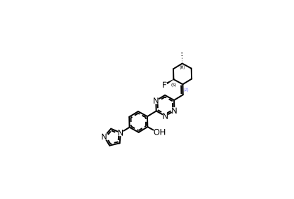 C[C@@H]1CC/C(=C/c2cnc(-c3ccc(-n4ccnc4)cc3O)nn2)[C@@H](F)C1